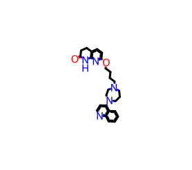 O=C1CCc2ccc(OCCCCN3CCCN(c4ccnc5ccccc45)CC3)nc2N1